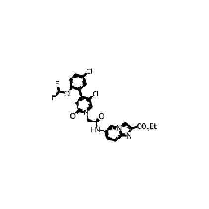 CCOC(=O)c1cn2cc(NC(=O)Cn3cc(Cl)c(-c4cc(Cl)ccc4OC(F)F)cc3=O)ccc2n1